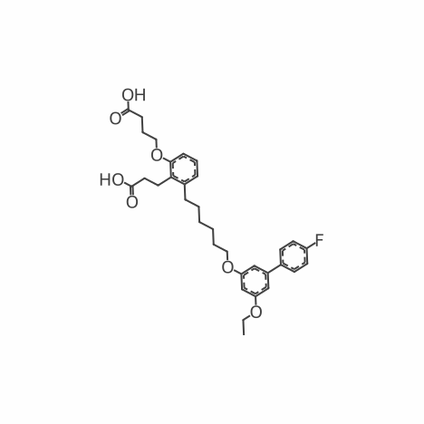 CCOc1cc(OCCCCCCc2cccc(OCCCC(=O)O)c2CCC(=O)O)cc(-c2ccc(F)cc2)c1